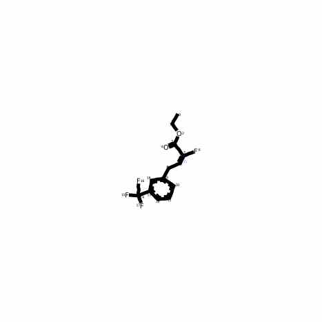 CCOC(=O)/C(F)=C\Cc1cccc(C(F)(F)F)c1